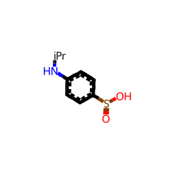 CC(C)Nc1ccc(S(=O)O)cc1